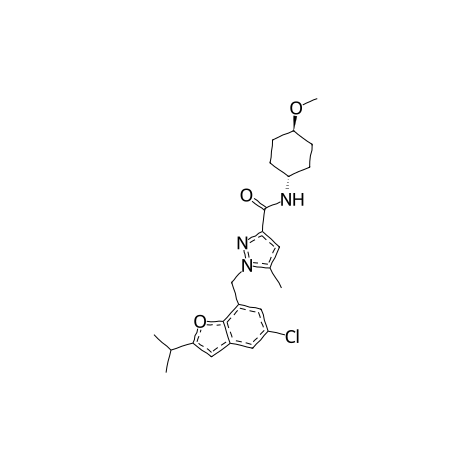 CO[C@H]1CC[C@H](NC(=O)c2cc(C)n(Cc3cc(Cl)cc4cc(C(C)C)oc34)n2)CC1